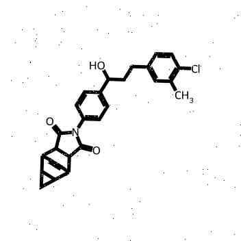 Cc1cc(CCC(O)c2ccc(N3C(=O)C4C5C=CC(C6CC56)C4C3=O)cc2)ccc1Cl